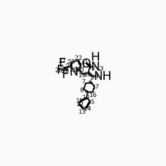 O=C1NCNC([C@H]2CC[C@H](c3ccccc3)CC2)=C1Cc1cccc(C(F)(F)F)n1